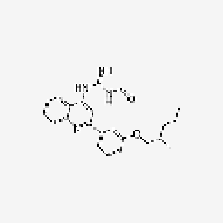 CCCC(C)COc1cccc(-c2cc(NC(=N)NC=O)c3ccccc3n2)c1